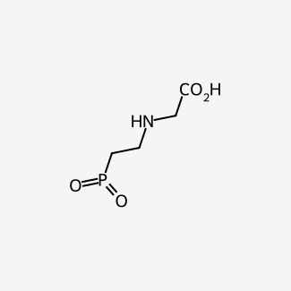 O=C(O)CNCCP(=O)=O